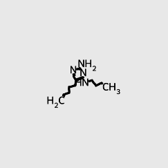 C=CCCCc1cnc(N)nc1NCCCC